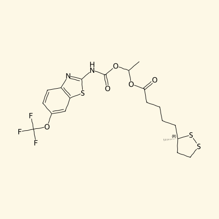 CC(OC(=O)CCCC[C@]1(C)CCSS1)OC(=O)Nc1nc2ccc(OC(F)(F)F)cc2s1